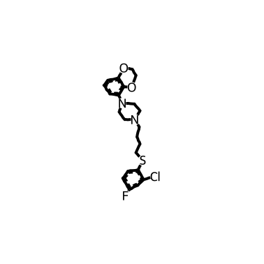 Fc1ccc(SCCCCN2CCN(c3cccc4c3OCCO4)CC2)c(Cl)c1